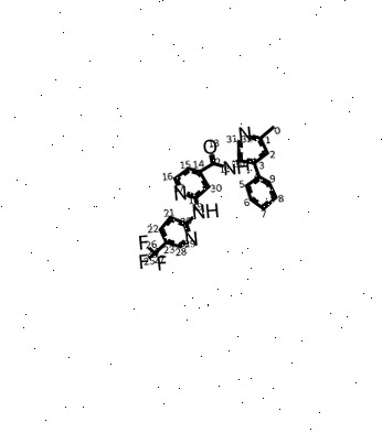 Cc1cc(-c2ccccc2)c(NC(=O)c2ccnc(Nc3ccc(C(F)(F)F)cn3)c2)cn1